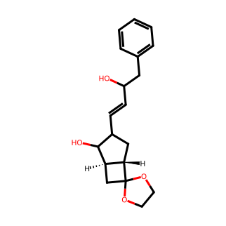 OC(C=CC1C[C@H]2[C@@H](CC23OCCO3)C1O)Cc1ccccc1